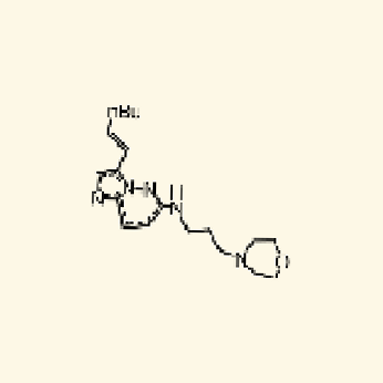 CCCCC=Cc1cnc2ccc(NCCCN3CCOCC3)nn12